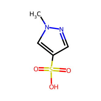 Cn1cc(S(=O)(=O)O)cn1